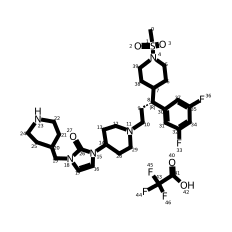 CS(=O)(=O)N1CCC([C@@H](CCN2CCC(n3ccn(CC4CCNCC4)c3=O)CC2)c2cc(F)cc(F)c2)CC1.O=C(O)C(F)(F)F